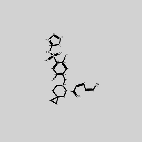 C=C(/C=C\C=C/C)[C@H]1CC2(CCN1Cc1cc(F)c(S(=O)(=O)Nc3ncns3)cc1F)CC2